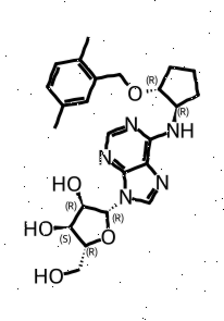 Cc1ccc(C)c(CO[C@@H]2CCC[C@H]2Nc2ncnc3c2ncn3[C@@H]2O[C@H](CO)[C@@H](O)[C@H]2O)c1